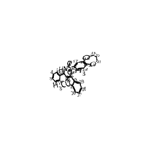 Cc1ccccc1[C@@H](NS(=O)(=O)c1ccc2c(c1)OCCCO2)c1oc2ccccc2c1C